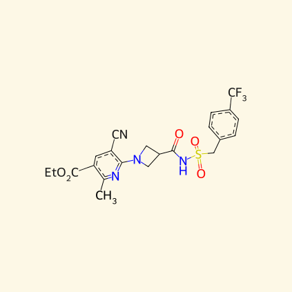 CCOC(=O)c1cc(C#N)c(N2CC(C(=O)NS(=O)(=O)Cc3ccc(C(F)(F)F)cc3)C2)nc1C